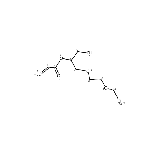 C=CC(=O)OC(CC)COCCOCC